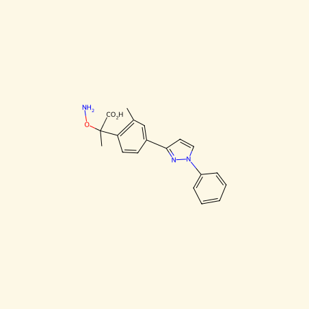 Cc1cc(-c2ccn(-c3ccccc3)n2)ccc1C(C)(ON)C(=O)O